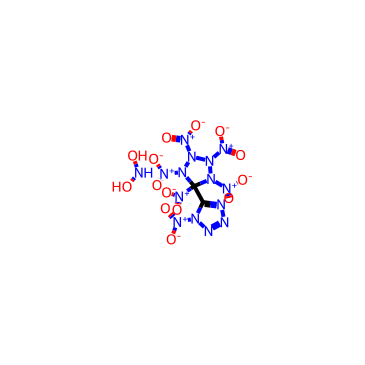 O=[N+]([O-])N1N([N+](=O)[O-])N([N+](=O)[O-])C(c2nnnn2[N+](=O)[O-])([N+](=O)[O-])N1[N+](=O)[O-].ONO